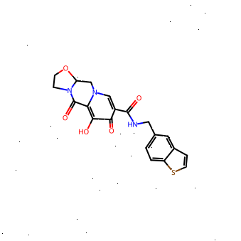 O=C(NCc1ccc2sccc2c1)c1cn2c(c(O)c1=O)C(=O)N1CCOC1C2